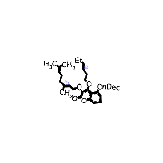 CC/C=C/CCOc1c(OC/C=C(\C)CCC=C(C)C)c(=O)oc2cccc(OCCCCCCCCCC)c12